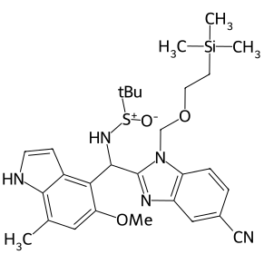 COc1cc(C)c2[nH]ccc2c1C(N[S+]([O-])C(C)(C)C)c1nc2cc(C#N)ccc2n1COCC[Si](C)(C)C